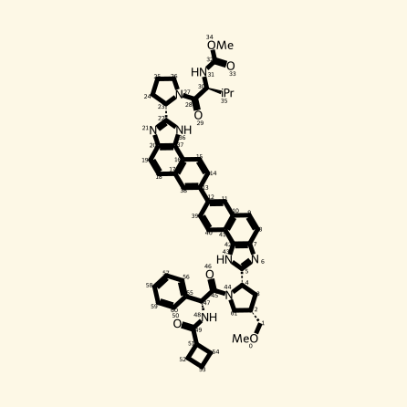 COC[C@H]1C[C@@H](c2nc3ccc4cc(-c5ccc6c(ccc7nc([C@@H]8CCCN8C(=O)[C@@H](NC(=O)OC)C(C)C)[nH]c76)c5)ccc4c3[nH]2)N(C(=O)[C@H](NC(=O)C2CCC2)c2ccccc2)C1